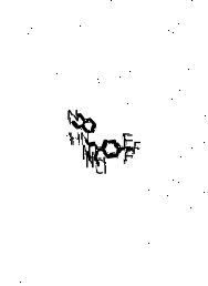 FC(F)(F)c1ccc(-c2cc(Nc3cccc4cnccc34)nnc2Cl)cc1